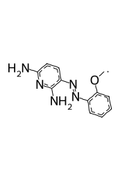 [CH2]Oc1ccccc1N=Nc1ccc(N)nc1N